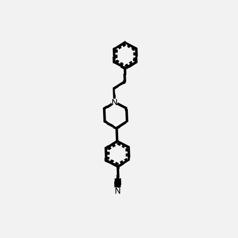 N#Cc1ccc(C2CCN(CCc3ccccc3)CC2)cc1